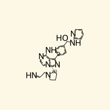 N=CCN1CCC[C@H]1c1nc(-c2ccc(C(O)Nc3ccccn3)cc2)c2c(N)nccn12